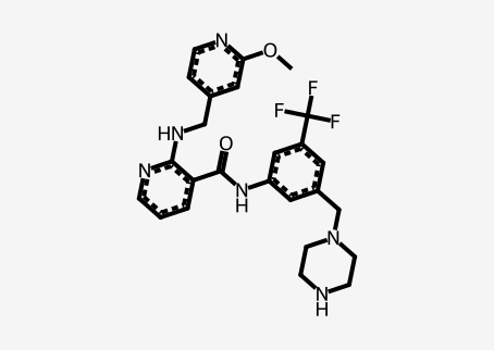 COc1cc(CNc2ncccc2C(=O)Nc2cc(CN3CCNCC3)cc(C(F)(F)F)c2)ccn1